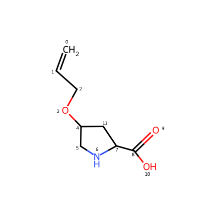 C=CCOC1CNC(C(=O)O)C1